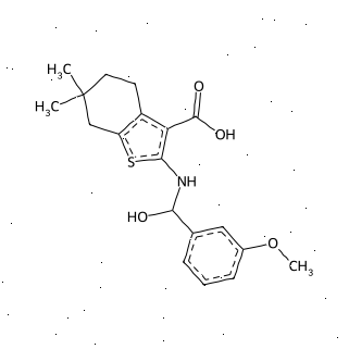 COc1cccc(C(O)Nc2sc3c(c2C(=O)O)CCC(C)(C)C3)c1